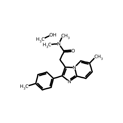 CO.Cc1ccc(-c2nc3ccc(C)cn3c2CC(=O)N(C)C)cc1